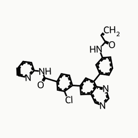 C=CC(=O)Nc1cccc(-c2cc(-c3ccc(C(=O)Nc4ccc#cn4)cc3Cl)cc3cncnc23)c1